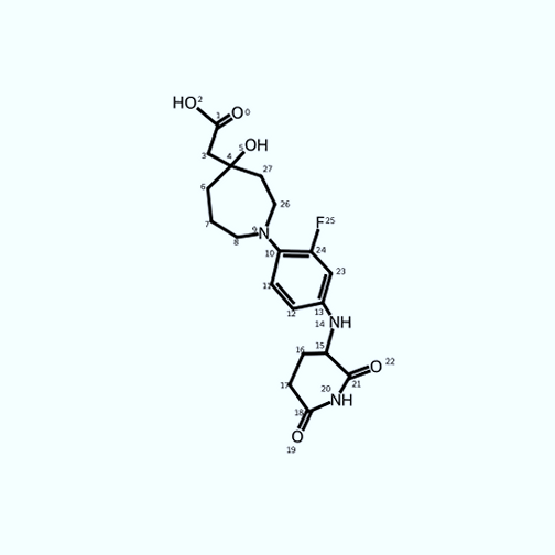 O=C(O)CC1(O)CCCN(c2ccc(NC3CCC(=O)NC3=O)cc2F)CC1